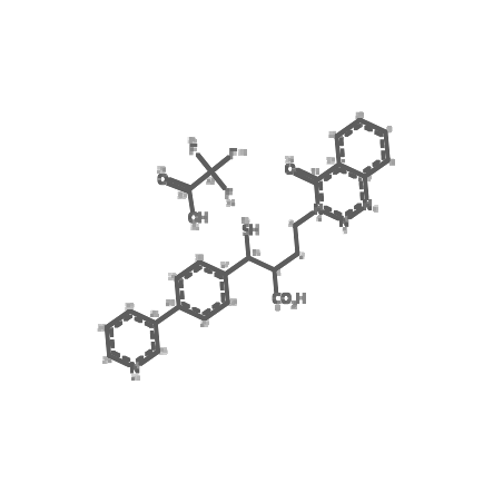 O=C(O)C(CCn1nnc2ccccc2c1=O)C(S)c1ccc(-c2cccnc2)cc1.O=C(O)C(F)(F)F